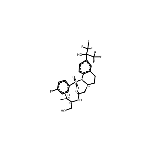 C[C@@H](O)[C@H](CO)NC(=O)C[C@@H]1CCc2cc(C(O)(C(F)(F)F)C(F)(F)F)ccc2N1S(=O)(=O)c1ccc(F)cc1